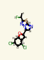 CC(F)c1nn2c(-c3cc4c(Cl)cc(Cl)cc4o3)cnc2s1